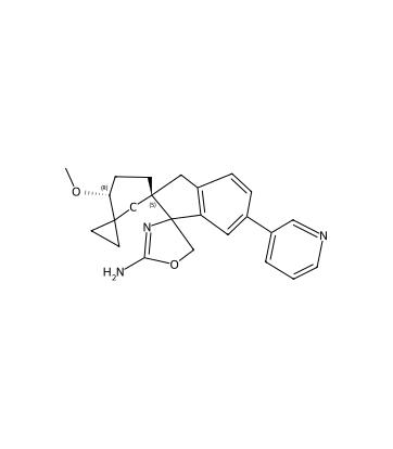 CO[C@@H]1CC[C@]2(Cc3ccc(-c4cccnc4)cc3C23COC(N)=N3)CC12CC2